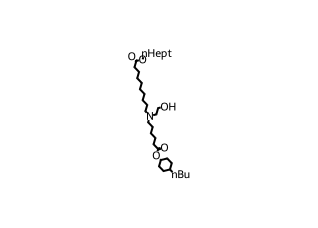 CCCCCCCOC(=O)CCCCCCCCCN(CCO)CCCCCC(=O)OC1CCC(CCCC)CC1